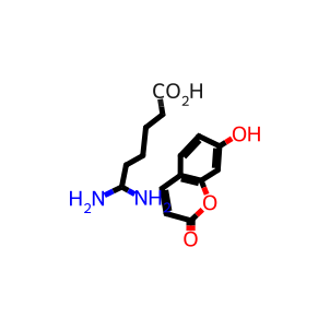 NC(N)CCCCC(=O)O.O=c1ccc2ccc(O)cc2o1